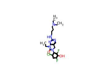 CCN(CC)CCCCNc1ncc2c(n1)N(CC)C(=O)N(c1c(Cl)cc(F)c(O)c1F)C2